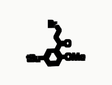 COc1ccc(C(C)(C)C)cc1C(=O)CCBr